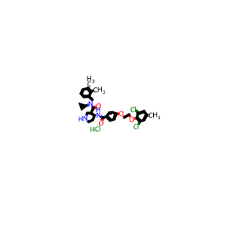 Cc1cc(Cl)c(OCCOc2ccc(C(=O)N[C@@H]3CCNCC3C(=O)N(Cc3cccc(C)c3C)C3CC3)cc2)c(Cl)c1.Cl